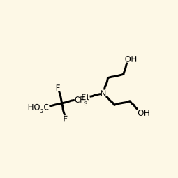 CCN(CCO)CCO.O=C(O)C(F)(F)C(F)(F)F